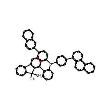 CC1(C)c2ccccc2-c2cccc(-c3ccccc3N(c3ccc(-c4ccc5ccccc5c4)cc3)c3ccc(-c4cccc5c4ccc4ccccc45)cc3)c21